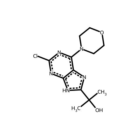 CC(C)(O)c1nc2c(N3CCOCC3)nc(Cl)nc2[nH]1